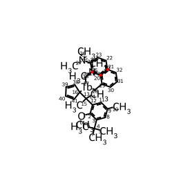 COc1c(C(C)(C)C)cc(C)cc1C(C)(C)[C]1([Tb]([CH2]c2ccccc2N(C)C)[CH2]c2ccccc2N(C)C)C=CC=C1